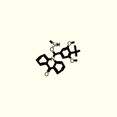 COc1cc(C(O[SiH](C)C)n2c3ccccc3c(=O)c3ccccc32)cc(OC)c1C(C)(C)C